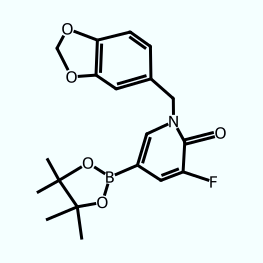 CC1(C)OB(c2cc(F)c(=O)n(Cc3ccc4c(c3)OCO4)c2)OC1(C)C